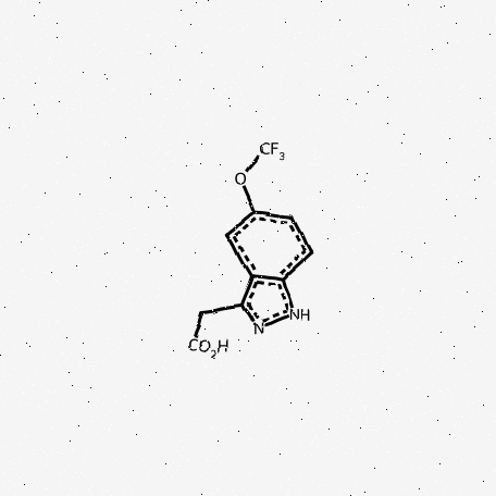 O=C(O)Cc1n[nH]c2ccc(OC(F)(F)F)cc12